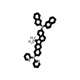 CC1(C)c2cc3cc(N(c4ccccn4)c4ccccn4)ccc3cc2-c2ccc3cc(N(c4ccc5ccccc5c4)c4ccc5ccccc5c4)ccc3c21